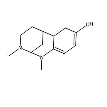 CN1CCC2CC1N(C)C1=CC=C(O)CC12